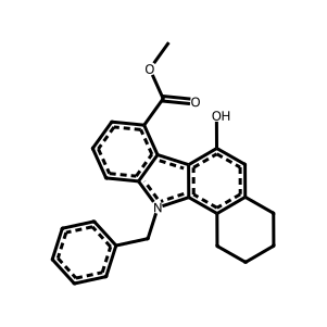 COC(=O)c1cccc2c1c1c(O)cc3c(c1n2Cc1ccccc1)CCCC3